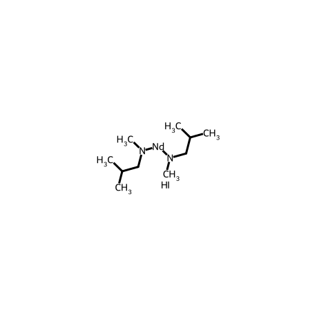 CC(C)C[N](C)[Nd][N](C)CC(C)C.I